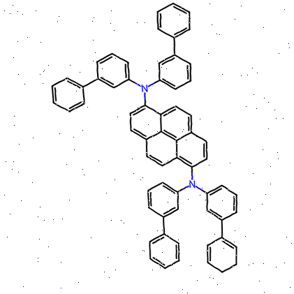 C1=CC(c2cccc(N(c3cccc(-c4ccccc4)c3)c3ccc4ccc5c(N(c6cccc(-c7ccccc7)c6)c6cccc(-c7ccccc7)c6)ccc6ccc3c4c65)c2)=CCC1